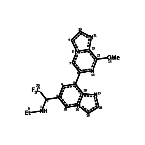 CCNC(c1cc(-c2cn3ccnc3c(OC)n2)c2nccn2c1)C(F)(F)F